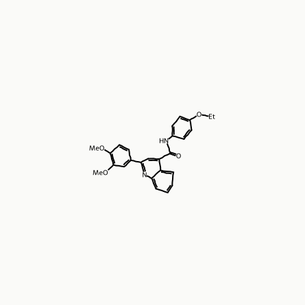 CCOc1ccc(NC(=O)c2cc(-c3ccc(OC)c(OC)c3)nc3ccccc23)cc1